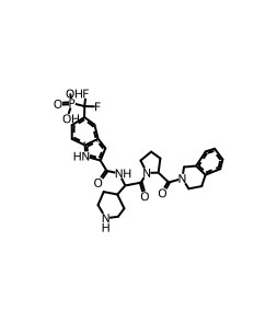 O=C(NC(C(=O)N1CCCC1C(=O)N1CCc2ccccc2C1)C1CCNCC1)c1cc2cc(C(F)(F)P(=O)(O)O)ccc2[nH]1